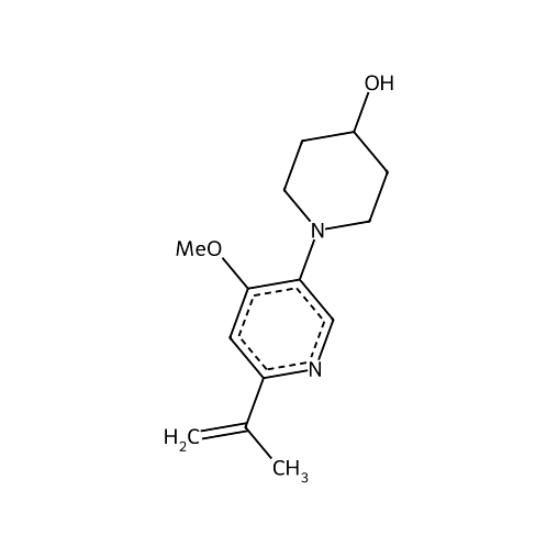 C=C(C)c1cc(OC)c(N2CCC(O)CC2)cn1